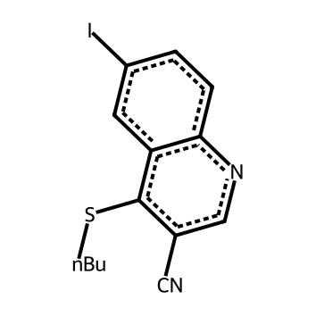 CCCCSc1c(C#N)cnc2ccc(I)cc12